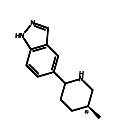 C[C@H]1CCC(c2ccc3[nH]ncc3c2)NC1